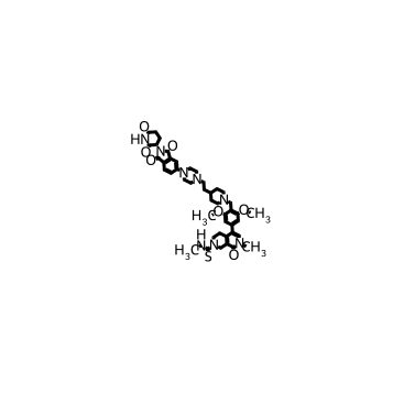 CNC(=S)N1CCc2c(-c3cc(OC)c(CN4CCC(CCN5CCN(c6ccc7c(c6)C(=O)N(C6CCC(=O)NC6=O)C7=O)CC5)CC4)c(OC)c3)cn(C)c(=O)c2C1